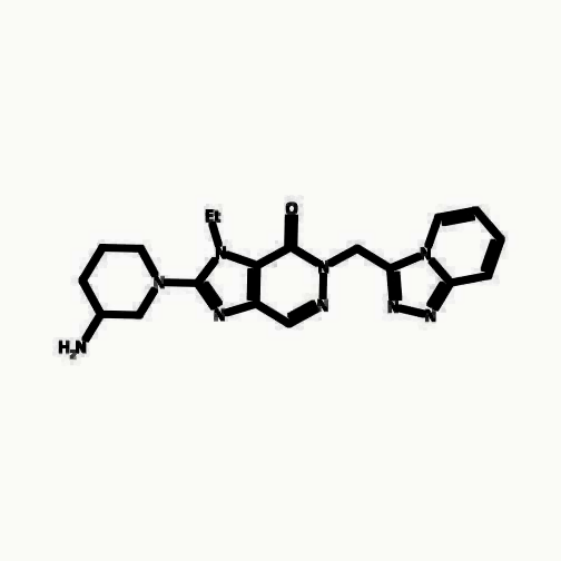 CCn1c(N2CCCC(N)C2)nc2cnn(Cc3nnc4ccccn34)c(=O)c21